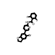 O=C(Nc1ccc(-c2cc3c(cc2Br)CCO3)cn1)c1c(F)cccc1F